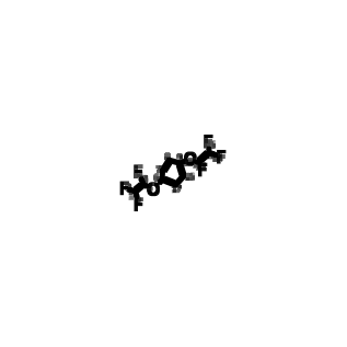 FC(F)=C(F)Oc1ccc(OC(F)=C(F)F)cc1